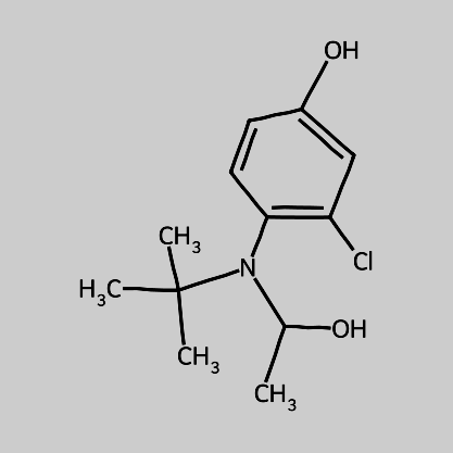 CC(O)N(c1ccc(O)cc1Cl)C(C)(C)C